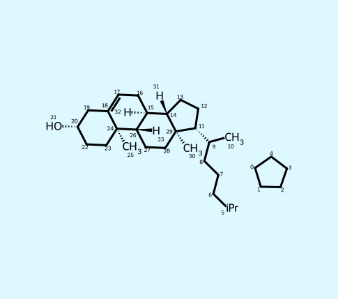 C1CCCC1.CC(C)CCCC(C)[C@H]1CC[C@H]2[C@@H]3CC=C4C[C@@H](O)CC[C@]4(C)[C@H]3CC[C@]12C